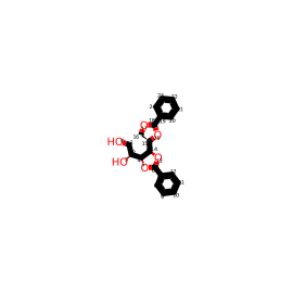 OC[C@@H](O)[C@H]1OC(c2ccccc2)O[C@@H]1[C@@H]1COC(c2ccccc2)O1